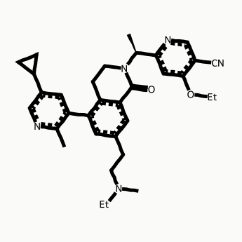 CCOc1cc([C@H](C)N2CCc3c(cc(CCN(C)CC)cc3-c3cc(C4CC4)cnc3C)C2=O)ncc1C#N